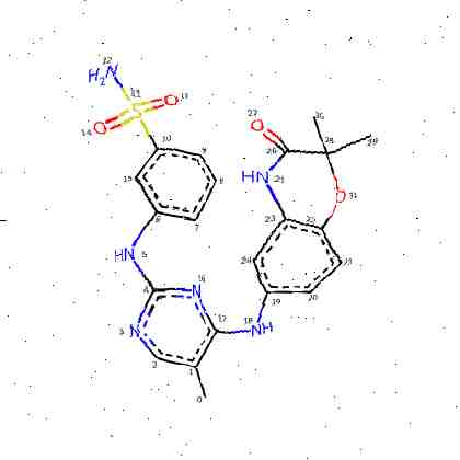 Cc1cnc(Nc2cccc(S(N)(=O)=O)c2)nc1Nc1ccc2c(c1)NC(=O)C(C)(C)O2